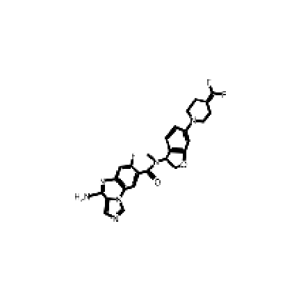 CN(C(=O)c1cc2c(cc1F)nc(N)c1cncn12)C1COc2cc(N3CCC(=C(F)F)CC3)ccc21